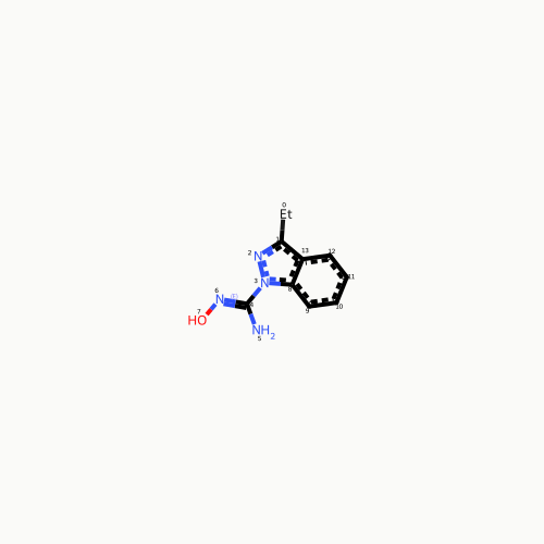 CCc1nn(/C(N)=N/O)c2ccccc12